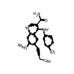 CCc1ccc(Nc2c(C(N)=O)cnc3cc(OC)c(C#CCO)cc23)cc1